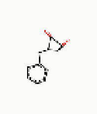 O=C1CC(Cc2ccccc2)C1=O